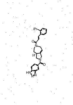 CC(C)c1ccccc1C=CC(=O)N1CC=C2CN(C(=O)c3ccc4[nH]nnc4c3)C[C@H]2CC1